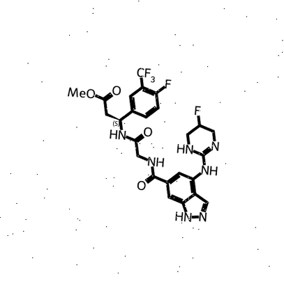 COC(=O)C[C@H](NC(=O)CNC(=O)c1cc(NC2=NCC(F)CN2)c2cn[nH]c2c1)c1ccc(F)c(C(F)(F)F)c1